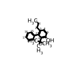 CCCc1ccc(O)c(C(C)(C)C)c1-c1ccccc1